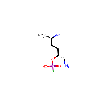 NC[C@@H](CC[C@H](N)C(=O)O)OP(=O)(O)F